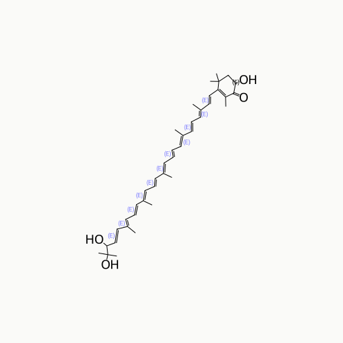 CC1=C(/C=C/C(C)=C/C=C/C(C)=C/C=C/C=C(C)/C=C/C=C(C)/C=C/C=C(C)/C=C/C(O)C(C)(C)O)C(C)(C)C[C@H](O)C1=O